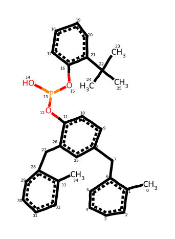 Cc1ccccc1Cc1ccc(OP(O)Oc2ccccc2C(C)(C)C)c(Cc2ccccc2C)c1